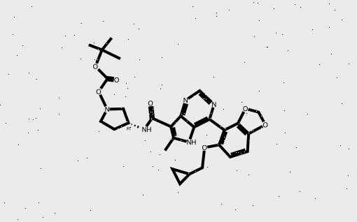 Cc1[nH]c2c(-c3c(OCC4CC4)ccc4c3OCO4)ncnc2c1C(=O)N[C@@H]1CCN(OC(=O)OC(C)(C)C)C1